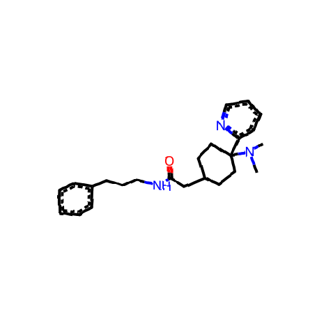 CN(C)C1(c2ccccn2)CCC(CC(=O)NCCCc2ccccc2)CC1